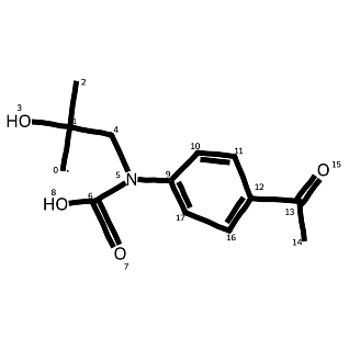 [CH2]C(C)(O)CN(C(=O)O)c1ccc(C(C)=O)cc1